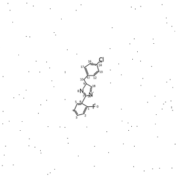 Fc1ccccc1C1=NC(Cc2ccc(Cl)cc2)C=N1